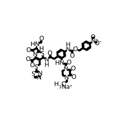 CCN1CCN(C(=O)Nc2cc(NC(=O)OCc3ccc([N+](=O)[O-])cc3)ccc2CC(=O)NC2S[C@H]3[C@H](NC=O)C(=O)N3C(C(=O)[O-])=C2CSc2nncs2)C(=O)C1=O.[Na+]